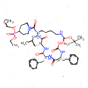 CCOP(=O)(OCC)C1CCN(C(=O)[C@@H](CCCCNC(=O)OC(C)(C)C)NC(=O)[C@@H](CC(C)C)NC(=O)[C@@H](Cc2ccccc2)NC(=O)[C@@H](Cc2ccccc2)NC(=O)O)CC1